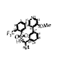 CCC(NS(=O)(=O)c1ccccc1C(F)(F)F)c1cccc(-c2ccncc2OC)c1